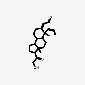 C/C=C\C1(C)/C(=C\C=O)CCC2C1CCC1(C)C(C(=O)CO)CCC21